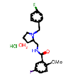 COc1ccc(I)cc1C(=O)NCC1CCCN1Cc1ccc(F)cc1.Cl.O